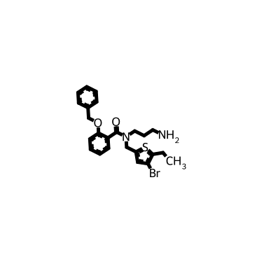 CCc1sc(CN(CCCN)C(=O)c2ccccc2OCc2ccccc2)cc1Br